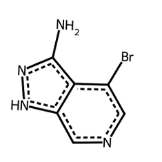 Nc1n[nH]c2cncc(Br)c12